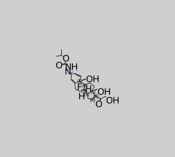 CC(C)OC(=O)N/N=C1\C=C[C@@]2(C)C(=C1)CC[C@H]1[C@@H]3C[C@@H](C)[C@](O)(C(=O)CO)[C@@]3(C)CC(O)[C@@]12F